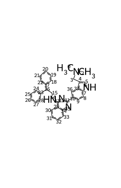 CN(C)Cc1c[nH]c2ccc(-c3nc(NCC(c4ccccc4)c4ccccc4)c4ccccc4n3)cc12